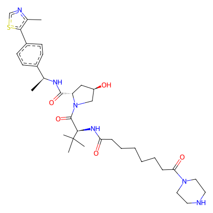 Cc1ncsc1-c1ccc([C@H](C)NC(=O)[C@@H]2C[C@@H](O)CN2C(=O)[C@@H](NC(=O)CCCCCCC(=O)N2CCNCC2)C(C)(C)C)cc1